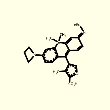 CCCC/N=C1/C=CC2=C(c3coc(C(=O)O)c3C)c3ccc(N4CCC4)cc3[Si](C)(C)C2=C1